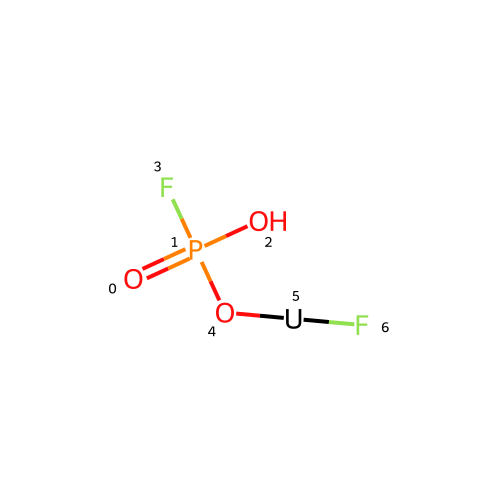 O=P(O)(F)[O][U][F]